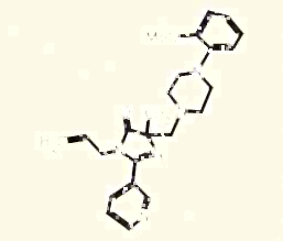 C=CCN1C(=O)C(C)(CN2CCN(c3ccccc3OC)CC2)N=C1c1cccnc1